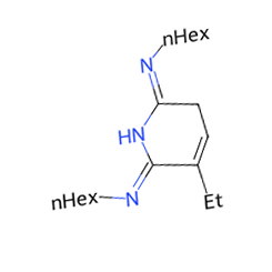 CCCCCCN=C1CC=C(CC)C(=NCCCCCC)N1